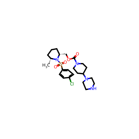 C[C@@H]1CCC[C@H](COC(=O)N2CCC(N3CCNCC3)CC2)N1S(=O)(=O)c1ccc(Cl)cc1